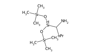 CCCC(N)[SiH](O[Si](C)(C)C)O[Si](C)(C)C